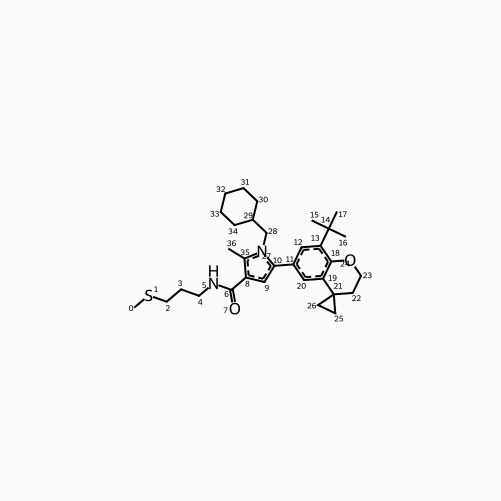 CSCCCNC(=O)c1cc(-c2cc(C(C)(C)C)c3c(c2)C2(CCO3)CC2)n(CC2CCCCC2)c1C